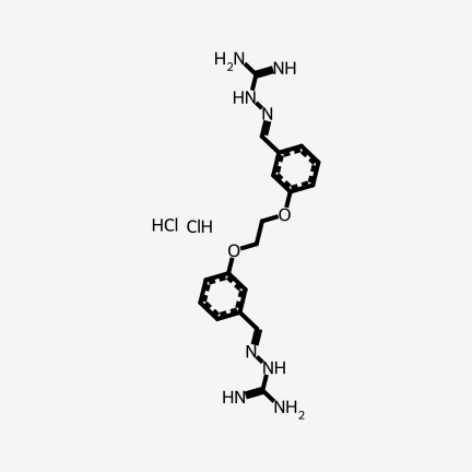 Cl.Cl.N=C(N)NN=Cc1cccc(OCCOc2cccc(C=NNC(=N)N)c2)c1